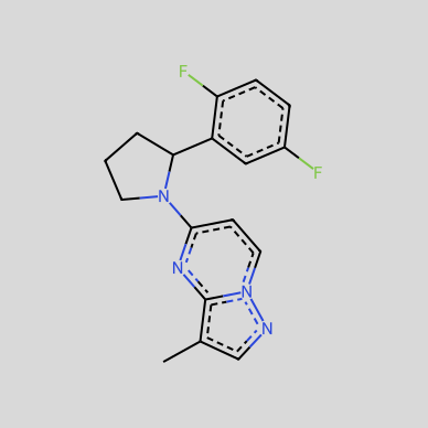 Cc1cnn2ccc(N3CCCC3c3cc(F)ccc3F)nc12